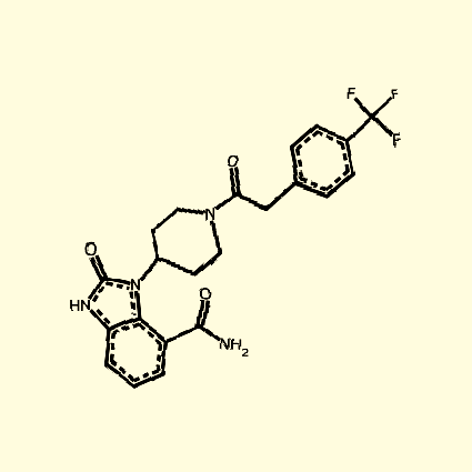 NC(=O)c1cccc2[nH]c(=O)n(C3CCN(C(=O)Cc4ccc(C(F)(F)F)cc4)CC3)c12